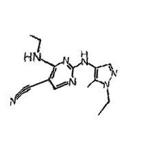 CCNc1nc(Nc2cnn(CC)c2C)ncc1C#N